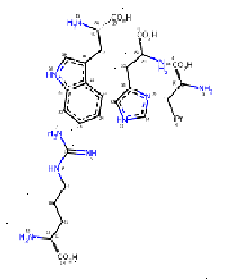 CC(C)C[C@H](N)C(=O)O.N=C(N)NCCC[C@H](N)C(=O)O.N[C@@H](Cc1c[nH]c2ccccc12)C(=O)O.N[C@@H](Cc1c[nH]cn1)C(=O)O